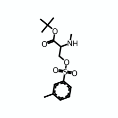 CNC(COS(=O)(=O)c1cccc(C)c1)C(=O)OC(C)(C)C